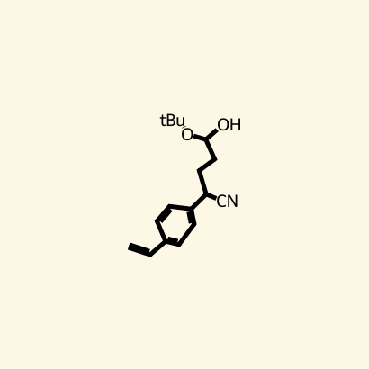 C=Cc1ccc(C(C#N)CCC(O)OC(C)(C)C)cc1